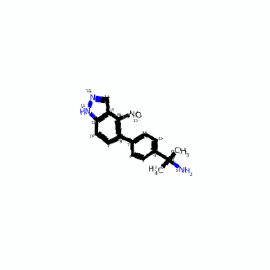 CC(C)(N)c1ccc(-c2ccc3[nH]ncc3c2N=O)cc1